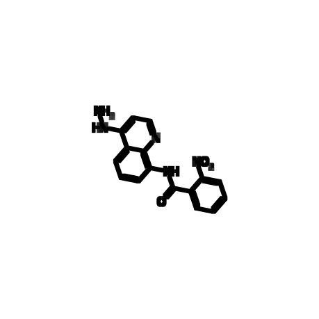 NNc1ccnc2c(NC(=O)c3ccccc3[N+](=O)[O-])cccc12